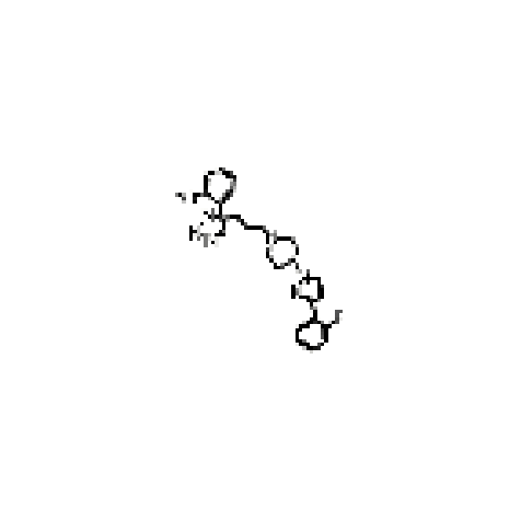 COc1ccccc1C1(CCCN2CCC(n3ccc(-c4ccccc4F)n3)CC2)C=NN=N1